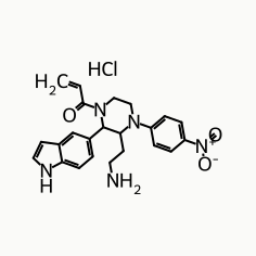 C=CC(=O)N1CCN(c2ccc([N+](=O)[O-])cc2)C(CCN)C1c1ccc2[nH]ccc2c1.Cl